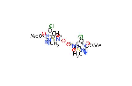 COC(=O)C[C@@H]1N=C(c2ccc(Cl)cc2)c2c(sc(C(=O)NCCOCCOCCNC(=O)c3sc4c(c3C)C(c3ccc(Cl)cc3)=N[C@@H](CC(=O)OC)c3nnc(C)n3-4)c2C)-n2c(C)nnc21